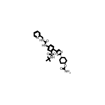 CC(C)(C)NS(=O)(=O)c1cc(NC(=O)NCc2ccccn2)ccc1-c1cnc([C@H]2CC[C@H](OC(N)=O)CC2)s1